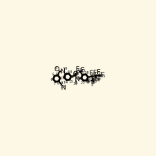 CN(C(=O)c1cccc(C#N)c1)c1cccc(C(=O)N(I)c2ccc(C(F)(C(F)(F)F)C(F)(F)C(F)(F)F)cc2C(F)(F)F)c1